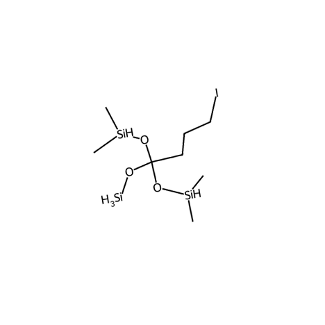 C[SiH](C)OC(CCCI)(O[SiH3])O[SiH](C)C